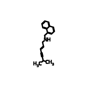 CC(C)C#C/C=C/CNCc1cccc2ccccc12